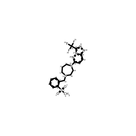 CS(=O)(=O)c1ccccc1CN1CCCN(c2ccc3nnc(C(F)(F)F)n3n2)CC1